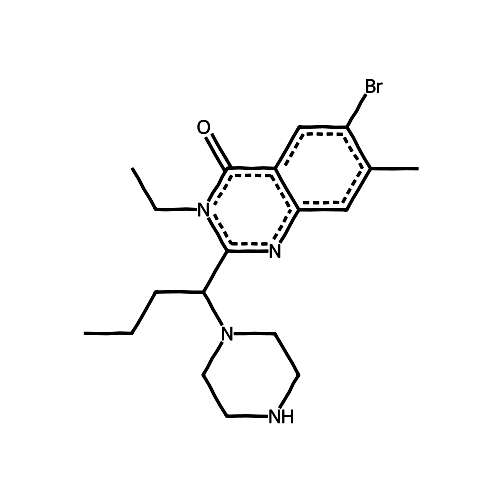 CCCC(c1nc2cc(C)c(Br)cc2c(=O)n1CC)N1CCNCC1